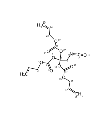 C=CCOC(=O)OC(CN=C=O)(OC(=O)OCC=C)OC(=O)OCC=C